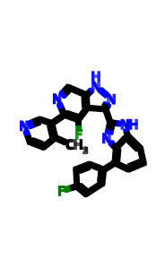 Cc1ccncc1-c1ncc2[nH]nc(-c3nc4c(-c5ccc(F)cc5)cccc4[nH]3)c2c1F